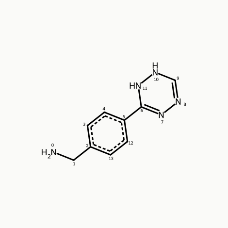 NCc1ccc(C2=NN=CNN2)cc1